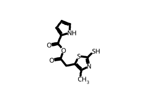 Cc1nc(S)sc1CC(=O)OC(=O)c1ccc[nH]1